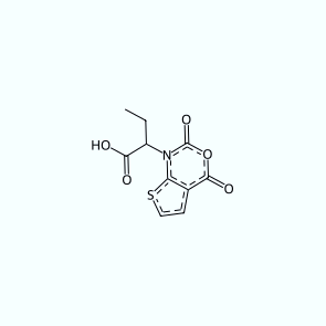 CCC(C(=O)O)n1c(=O)oc(=O)c2ccsc21